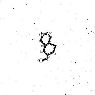 O=[C]c1ccc2cnncc2c1